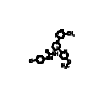 COc1ccc([C@@H]2CN(c3cc(C)ncn3)CC[C@H]2NC(=O)Nc2ccc(Cl)cc2)nc1